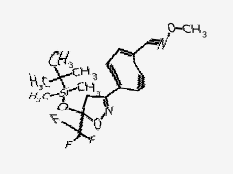 CO/N=C/c1ccc(C2=NOC(O[Si](C)(C)C(C)(C)C)(C(F)(F)F)C2)cc1